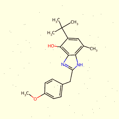 COc1ccc(Cc2nc3c(O)c(C(C)(C)C)cc(C)c3[nH]2)cc1